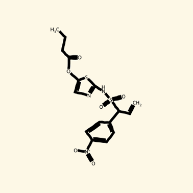 C=CC(c1ccc([N+](=O)[O-])cc1)S(=O)(=O)Nc1ncc(OC(=O)CCC)s1